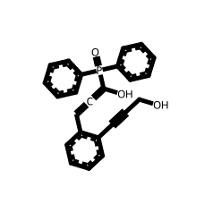 O=P(C(O)=C=Cc1ccccc1C#CCO)(c1ccccc1)c1ccccc1